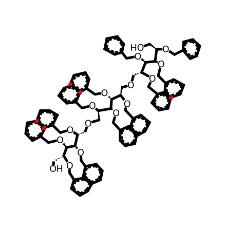 OC[C@@H](OCc1ccccc1)[C@@H](OCc1ccccc1)[C@H](OCc1ccccc1)[C@@H](COC[C@@H](OCc1ccccc1)[C@@H](OCc1ccccc1)[C@H](OCc1ccccc1)[C@@H](COC[C@@H](OCc1ccccc1)[C@@H](OCc1ccccc1)[C@H](OCc1ccccc1)[C@@H](CO)OCc1ccccc1)OCc1ccccc1)OCc1ccccc1